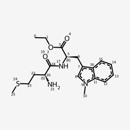 CCOC(=O)[C@@H](Cc1cn(C)c2ccccc12)NC(=O)[C@@H](N)CCSC